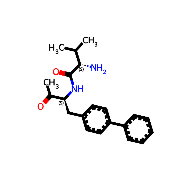 CC(=O)[C@H](Cc1ccc(-c2ccccc2)cc1)NC(=O)[C@@H](N)C(C)C